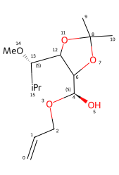 C=CCO[C@H](O)C1OC(C)(C)OC1[C@@H](OC)C(C)C